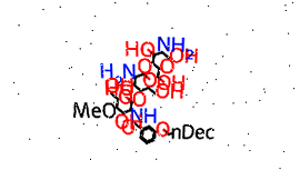 CCCCCCCCCCCOc1cccc(C(=O)NC2C(OC3C(CO)OC(OC4C(CO)OC(O)C(N)C4O)C(N)C3O)OC(CO)C(OC)C2O)c1